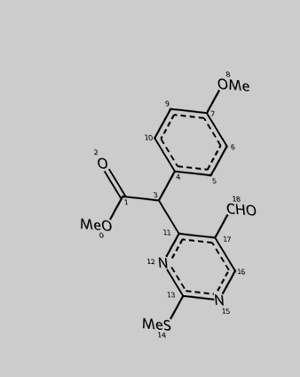 COC(=O)C(c1ccc(OC)cc1)c1nc(SC)ncc1C=O